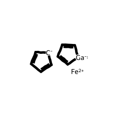 C1=[CH][Ga-][CH]=C1.[Fe+2].c1cc[cH-]c1